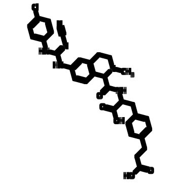 CN1CCc2cc(NC(=NC#N)Nc3ccc(Cl)cc3)ccc2C1C(=O)NC(Cc1ccc(CCC(=O)O)cc1)C(=O)O